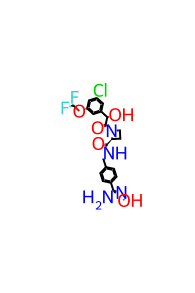 N/C(=N\O)c1ccc(CNC(=O)[C@@H]2CCN2C(=O)[C@H](O)c2cc(Cl)cc(OC(F)F)c2)cc1